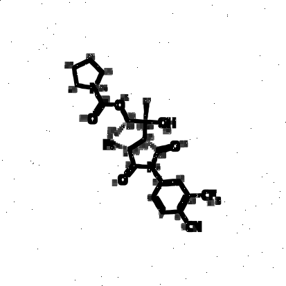 CC[C@H]1C(=O)N(c2ccc(C#N)c(C(F)(F)F)c2)C(=O)[C@H]1[C@@](C)(O)[C@H](C)OC(=O)N1CCCC1